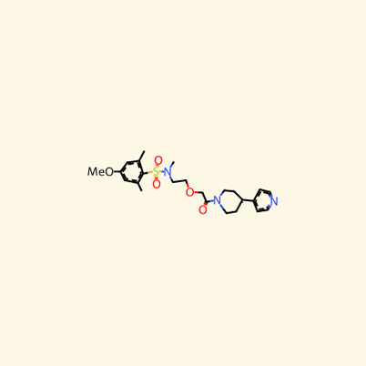 COc1cc(C)c(S(=O)(=O)N(C)CCOCC(=O)N2CC[C](c3ccncc3)CC2)c(C)c1